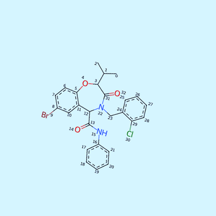 CC(C)C1Oc2ccc(Br)cc2C(C(=O)Nc2ccccc2)N(Cc2ccccc2Cl)C1=O